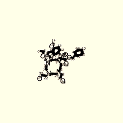 CCOP(=O)(Cc1cc([N+](=O)[O-])ccc1OC)CN1CCN(CC=O)CCN(CC=O)CCN(CC(=O)OCc2ccccc2)CC1